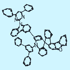 c1ccc(-c2cc(-c3ccccc3)cc(N3c4ccccc4C4(c5ccccc5-c5c4ccc4oc6ccccc6c54)c4ccc(-c5ccc6c(c5)c5ccccc5n6-c5nc(-c6ccccc6)cc(-c6ccccc6)n5)cc43)c2)cc1